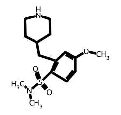 COc1ccc(S(=O)(=O)N(C)C)c(CC2CCNCC2)c1